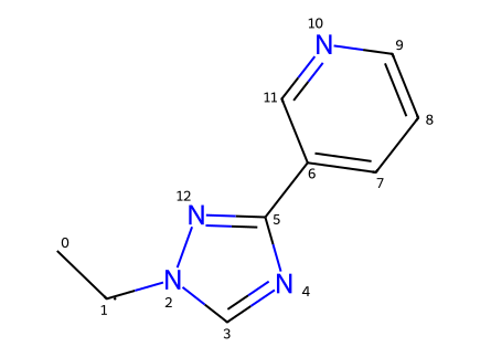 C[CH]n1cnc(-c2cccnc2)n1